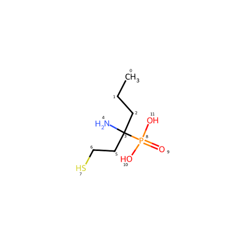 CCCC(N)(CCS)P(=O)(O)O